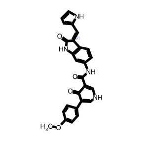 COc1ccc(-c2c[nH]cc(C(=O)Nc3ccc4c(c3)NC(=O)/C4=C\c3ccc[nH]3)c2=O)cc1